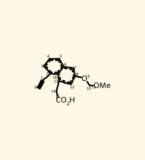 C#Cc1cccc2cc(OCOC)cc(CC(=O)O)c12